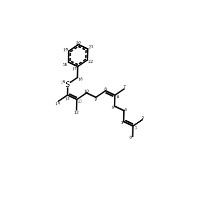 CC(C)=CCCC(C)=CCCC(C)=C(C)SCc1ccccc1